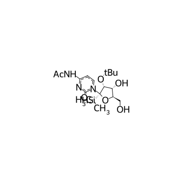 CC(=O)Nc1ccn([C@]2([SiH](C)C)O[C@H](CO)[C@@H](O)[C@H]2OC(C)(C)C)c(=O)n1